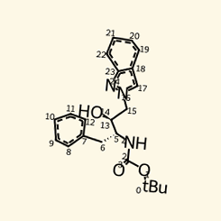 CC(C)(C)OC(=O)N[C@H](Cc1ccccc1)[C@@H](O)Cn1cc2ccccc2n1